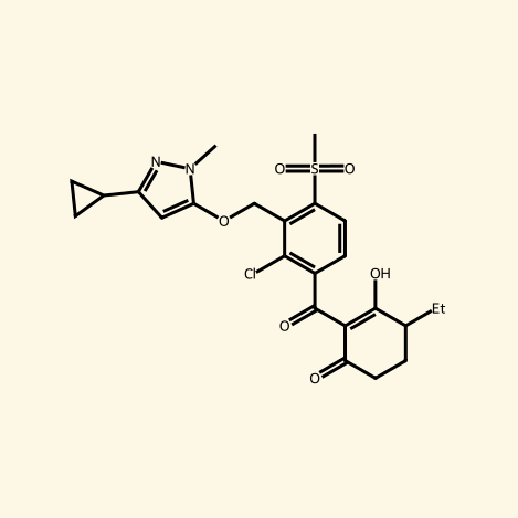 CCC1CCC(=O)C(C(=O)c2ccc(S(C)(=O)=O)c(COc3cc(C4CC4)nn3C)c2Cl)=C1O